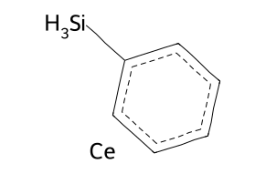 [Ce].[SiH3]c1ccccc1